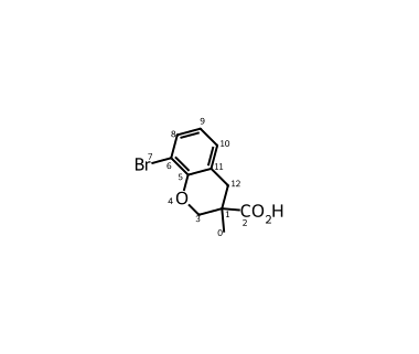 CC1(C(=O)O)COc2c(Br)cccc2C1